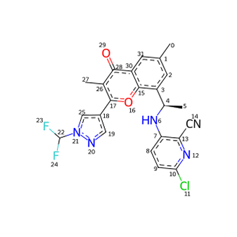 Cc1cc([C@@H](C)Nc2ccc(Cl)nc2C#N)c2oc(-c3cnn(C(F)F)c3)c(C)c(=O)c2c1